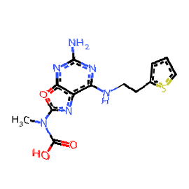 CN(C(=O)O)c1nc2c(NCCc3cccs3)nc(N)nc2o1